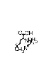 C=CC#N.CSCC[C@H](N)C(=O)O